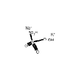 O=S(=O)([O-])S(=O)(=O)O.[K+].[Na+].[OH-]